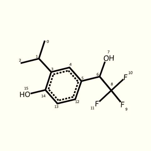 CC(C)c1cc(C(O)C(F)(F)F)ccc1O